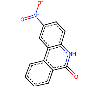 O=c1[nH]c2ccc([N+](=O)[O-])cc2c2ccccc12